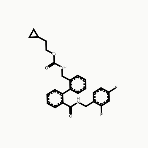 O=C(NCc1ccccc1-c1ccccc1C(=O)NCc1ccc(F)cc1F)OCCC1CC1